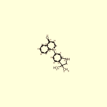 CC1(C)CNc2cc(-n3ccc(=O)c4ccccc43)ccc21